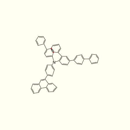 c1ccc(-c2ccc(-c3ccc(N(c4ccc(-c5ccccc5)cc4)c4ccc(-c5cc6ccccc6c6ccccc56)cc4)c(-c4ccccc4)c3)cc2)cc1